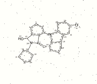 O=C1c2c(cccc2-n2c3ccccc3c3cc(C(F)(F)F)ccc32)C(O)N1c1ccccc1